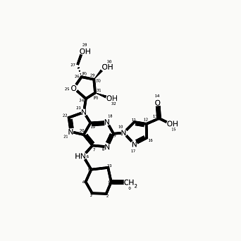 C=C1CCCC(Nc2nc(-n3cc(C(=O)O)cn3)nc3c2ncn3C2O[C@H](CO)[C@@H](O)[C@H]2O)C1